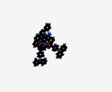 Cc1cccc(C)c1-c1c(C#N)c(-c2cccc(-c3ccccc3)n2)c(-c2c(C)cccc2C)c(-n2c3ccccc3c3cc(-c4ccc(-n5c6ccccc6c6ccccc65)cc4)ccc32)c1-n1c2ccccc2c2cc(-c3ccc(-n4c5ccccc5c5ccccc54)cc3)ccc21